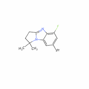 CC(C)c1cc(F)c2nc3n(c2c1)C(C)(C)CC3